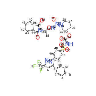 Cc1ccc(-c2cc(C(F)(F)F)nn2-c2ccc(S(=O)(=O)NC(=O)OC3CCCN([N+]([O-])=NOC(C)N4C(=O)c5ccccc5C4=O)C3)cc2)cc1